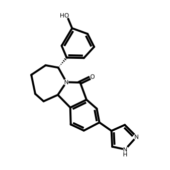 O=C1c2cc(-c3cn[nH]c3)ccc2C2CCCC[C@H](c3cccc(O)c3)N12